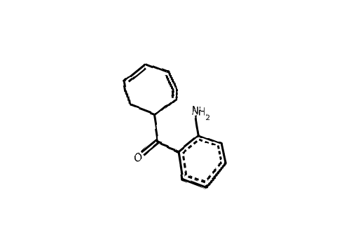 Nc1ccccc1C(=O)C1C=CC=CC1